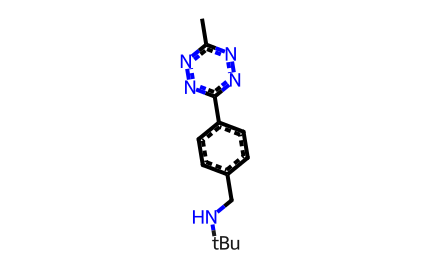 Cc1nnc(-c2ccc(CNC(C)(C)C)cc2)nn1